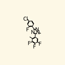 Cc1c(-c2nc(-c3ccc(Cl)cc3F)nn2C)cc(F)c(F)c1F